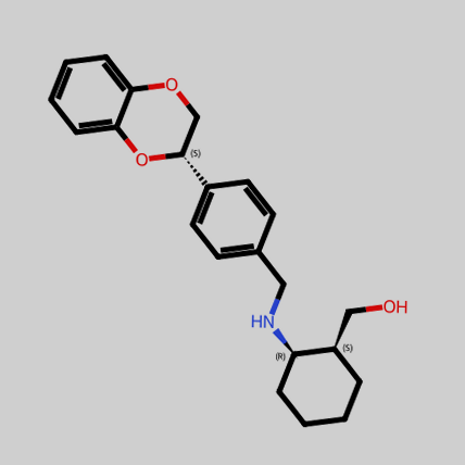 OC[C@H]1CCCC[C@H]1NCc1ccc([C@H]2COc3ccccc3O2)cc1